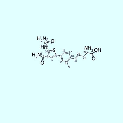 Cc1cc(-c2cc(C(N)=O)c(NC(N)=O)s2)ccc1C=CC[C@H](N)C(=O)O